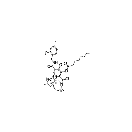 CCCCCCCC(=O)Oc1c2n(cc(C(=O)NCc3ccc(F)cc3F)c1=O)[C@@H]1CN(C2=O)[C@@H](C)CC[C@]12CC(C)=NO2